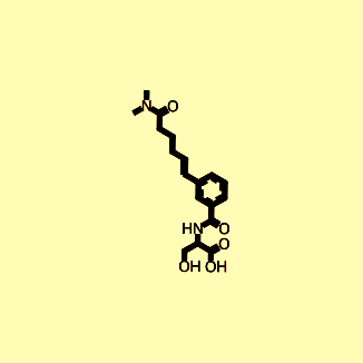 CN(C)C(=O)CCC/C=C/c1cccc(C(=O)NC(CO)C(=O)O)c1